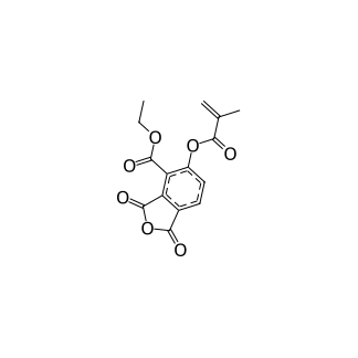 C=C(C)C(=O)Oc1ccc2c(c1C(=O)OCC)C(=O)OC2=O